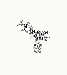 C#CC1(NC(=O)[C@H](CCC(F)(F)c2cccnc2)NC(=O)N2CC3(CCN(C4CC4)CC3)C2)CC1